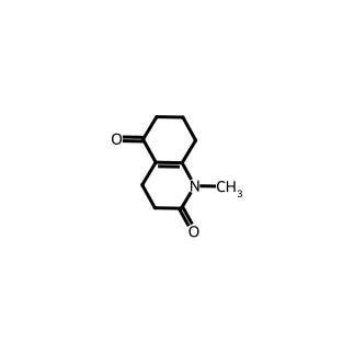 CN1C(=O)CCC2=C1CCCC2=O